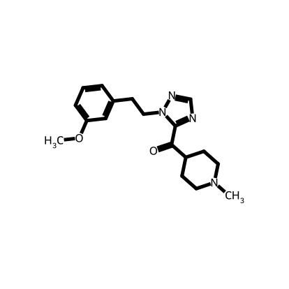 COc1cccc(CCn2ncnc2C(=O)C2CCN(C)CC2)c1